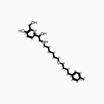 OCc1nc(C(O)CNCCCCCCOCCCCc2ccc(F)cc2)ccc1O